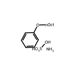 CCCCCCCCOc1ccccc1.N.O=S(=O)(O)O